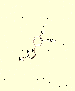 COc1cc(-n2ccc(C#N)n2)ccc1Cl